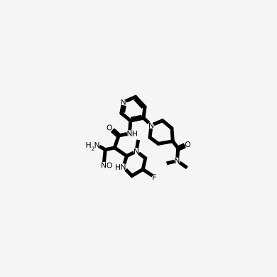 CN(C)C(=O)C1CCN(c2ccncc2NC(=O)C(C(N)N=O)C2NCC(F)CN2C)CC1